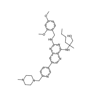 CCCCC(C)(CO)Nc1nc(NCc2ccc(OC)cc2OC)nc2cc(-c3ccc(CN4CCN(C)CC4)nc3)cnc12